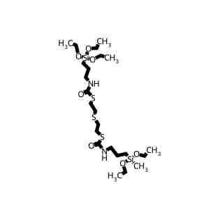 CCO[Si](C)(CCCNC(=O)SCCSCCSC(=O)NCCC[Si](OCC)(OCC)OCC)OCC